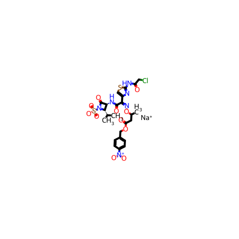 CC(CC(=O)OCc1ccc([N+](=O)[O-])cc1)ON=C(C(=O)N[C@H]1C(=O)N(S(=O)(=O)[O-])[C@H]1C(C)C)c1csc(NC(=O)CCl)n1.[Na+]